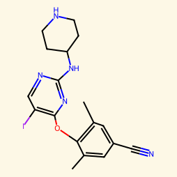 Cc1cc(C#N)cc(C)c1Oc1nc(NC2CCNCC2)ncc1I